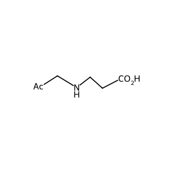 CC(=O)CNCCC(=O)O